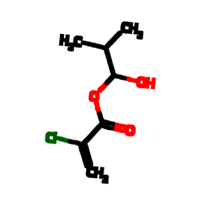 C=C(Cl)C(=O)OC(O)C(C)C